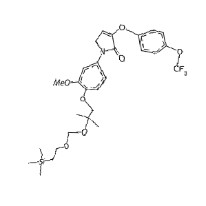 COc1cc(N2CC=C(Oc3ccc(OC(F)(F)F)cc3)C2=O)ccc1OCC(C)(C)OCOCC[Si](C)(C)C